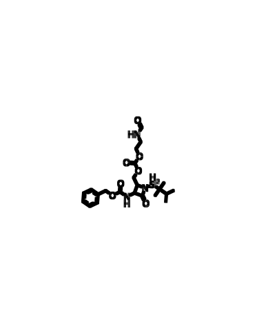 CC(C)C(C)(C)[SiH2]N1C(=O)C(NC(=O)OCc2ccccc2)C1COC(=O)OCCNC=O